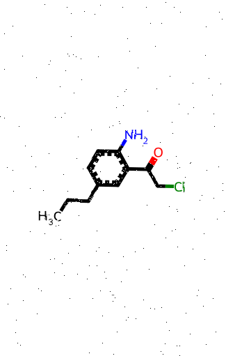 CCCc1ccc(N)c(C(=O)CCl)c1